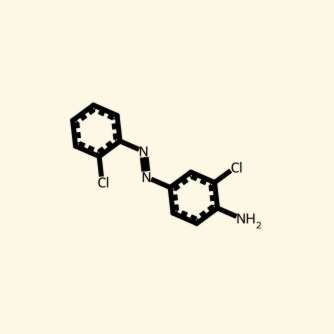 Nc1ccc(N=Nc2ccccc2Cl)cc1Cl